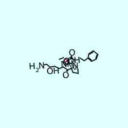 CCOC(=O)[C@H](CCc1ccccc1)N1CCC[C@]1(C(=O)O)C(=O)[C@@H](N)CCC(O)CN